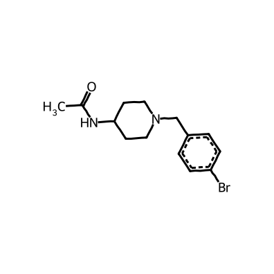 CC(=O)NC1CCN(Cc2ccc(Br)cc2)CC1